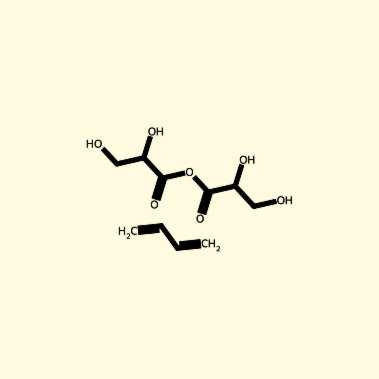 C=CC=C.O=C(OC(=O)C(O)CO)C(O)CO